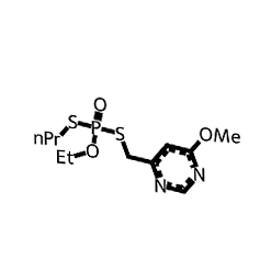 CCCSP(=O)(OCC)SCc1cc(OC)ncn1